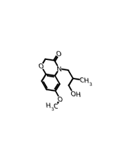 COc1ccc2c(c1)N(CC(C)CO)C(=O)CO2